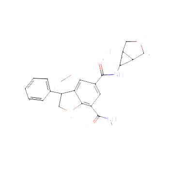 CNC(=O)c1cc(C(=O)NC2[C@H]3COC[C@@H]23)cc2c1OC[C@@]2(CO)c1ccccc1